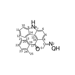 CC(=NO)c1ccc2[nH]c3ccccc3c2c1C(=O)c1ccccc1C